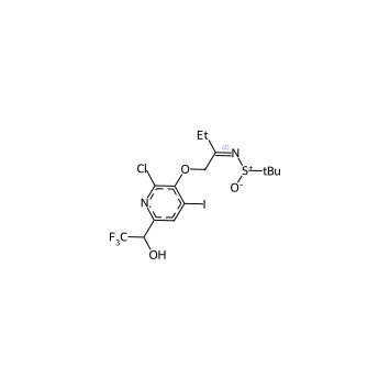 CC/C(COc1c(I)cc(C(O)C(F)(F)F)nc1Cl)=N/[S+]([O-])C(C)(C)C